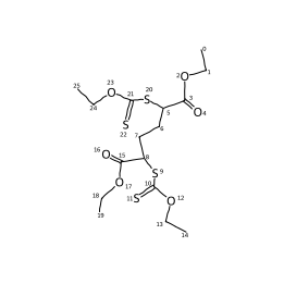 CCOC(=O)C(CCC(SC(=S)OCC)C(=O)OCC)SC(=S)OCC